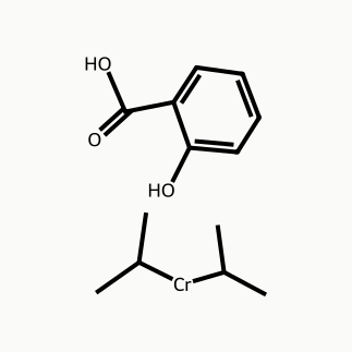 C[CH](C)[Cr][CH](C)C.O=C(O)c1ccccc1O